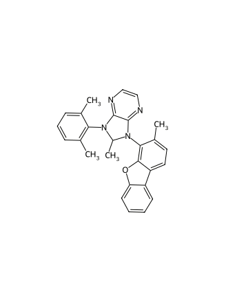 Cc1cccc(C)c1N1c2nccnc2N(c2c(C)ccc3c2oc2ccccc23)C1C